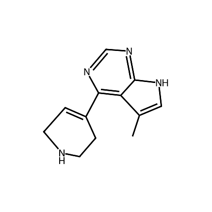 Cc1c[nH]c2ncnc(C3=CCNCC3)c12